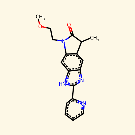 COCCN1C(=O)C(C)c2cc3nc(-c4ccccn4)[nH]c3cc21